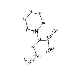 CNCC(C(=O)O)N1CCCCC1